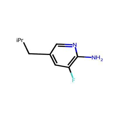 CC(C)Cc1cnc(N)c(F)c1